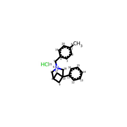 Cc1ccc(CN2CC3CC(c4ccccc4)(C3)C2)cc1.Cl